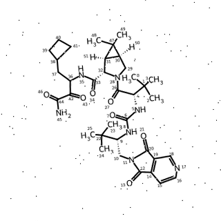 CC(C)(C)[C@H](NC(=O)N[C@H](CN1C(=O)c2ccncc2C1=O)C(C)(C)C)C(=O)N1C[C@H]2[C@@H]([C@H]1C(=O)NC(CC1CCC1)C(=O)C(N)=O)C2(C)C